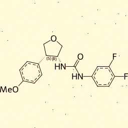 COc1ccc([C@@H]2COC[C@@H]2NC(=O)Nc2ccc(F)c(F)c2)cc1